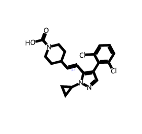 O=C(O)N1CCC(/C=C/c2c(-c3c(Cl)cccc3Cl)cnn2C2CC2)CC1